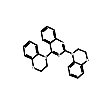 c1ccc2c(c1)OCCN2c1nc(N2CCOc3ccccc32)c2ccccc2n1